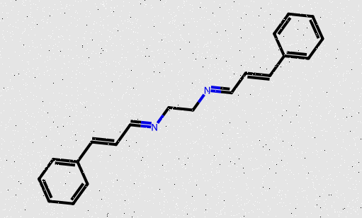 C(/C=C/c1ccccc1)=NCCN=C/C=C/c1ccccc1